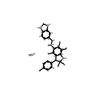 Cc1ccc(C2c3c(C)c(NCc4ccc5c(c4)OCO5)c(C)c(C)c3OC2(C)C)cc1.Cl